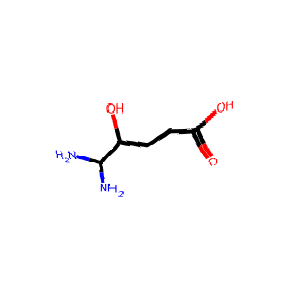 NC(N)C(O)CCC(=O)O